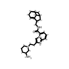 NC1CCCN(CCc2cn3c(C(=O)NCC4CC5CC6CC=C4C5C6)cccc3n2)C1